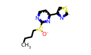 CCCC[S+]([O-])c1nccc(-c2cs[c]n2)n1